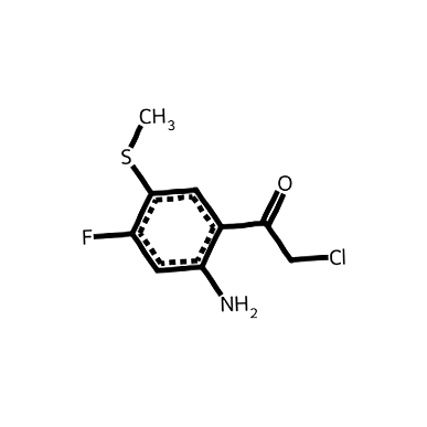 CSc1cc(C(=O)CCl)c(N)cc1F